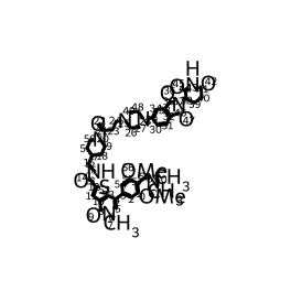 COc1cc(-c2cn(C)c(=O)c3cc(C(=O)NCC4CCN(C(=O)CCN5CCN(c6ccc7c(c6)C(=O)N(C6CCC(=O)NC6=O)C7=O)CC5)CC4)sc23)cc(OC)c1CN(C)C